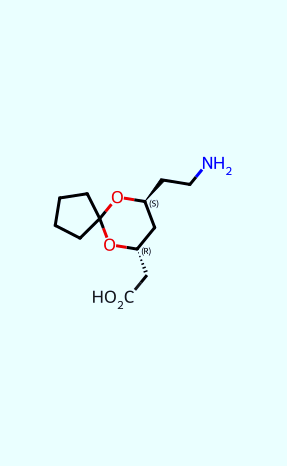 NCC[C@H]1C[C@H](CC(=O)O)OC2(CCCC2)O1